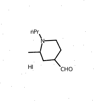 CCCN1CCC(C=O)CC1C.I